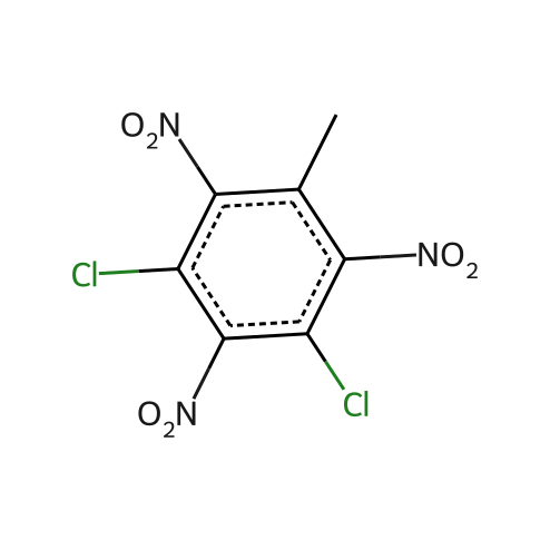 Cc1c([N+](=O)[O-])c(Cl)c([N+](=O)[O-])c(Cl)c1[N+](=O)[O-]